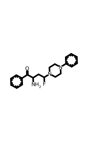 NC(CC(F)N1CCN(c2ccccc2)CC1)C(=O)c1ccccc1